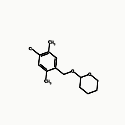 Cc1cc(COC2CCCCO2)c(C)cc1Cl